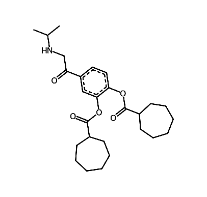 CC(C)NCC(=O)c1ccc(OC(=O)C2CCCCCC2)c(OC(=O)C2CCCCCC2)c1